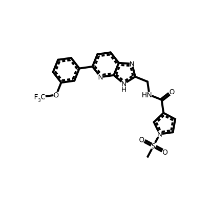 CS(=O)(=O)n1ccc(C(=O)NCc2nc3ccc(-c4cccc(OC(F)(F)F)c4)nc3[nH]2)c1